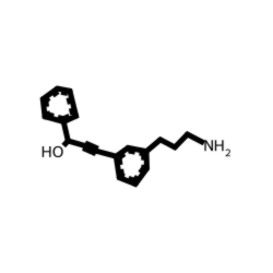 NCCCc1cccc(C#CC(O)c2ccccc2)c1